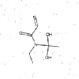 C=CC(=O)N(CC)C(C)(O)O